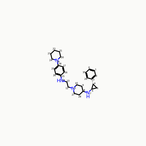 c1ccc([C@@H]2C[C@H]2NC2CCN(CCNc3ccc(N4CCCCC4)cc3)CC2)cc1